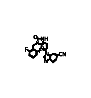 N#Cc1ccc2ncn(-c3ccc4[nH]c(=O)n(Cc5c(F)cccc5F)c4n3)c2c1